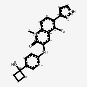 Cn1c(=O)c(Nc2ccc(C3(O)CCC3)cn2)cc2c(F)c(-c3cc[nH]n3)ccc21